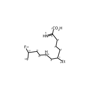 CCC(CCCC(=N)C(=O)O)CNCCC(F)F